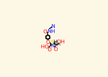 C[C@@H](O)[C@H]1C(=O)N2C(C(=O)O)=C(Oc3ccc(C(=O)NCC#N)cc3)S[C@H]12